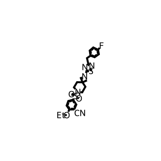 CCOc1ccc(S(=O)(=O)N2CCC3(CC2)CN(c2nc(Cc4ccc(F)cc4)ns2)C3)cc1C#N